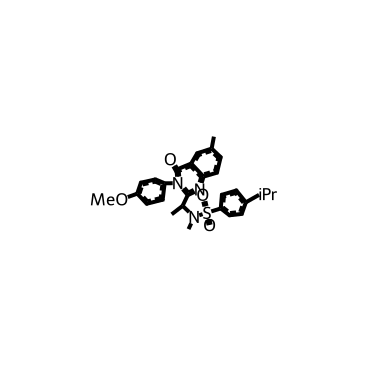 COc1ccc(-n2c(C(C)N(C)S(=O)(=O)c3ccc(C(C)C)cc3)nc3ccc(C)cc3c2=O)cc1